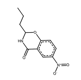 CCCC1NC(=O)c2cc([N+](=O)[O-])ccc2O1